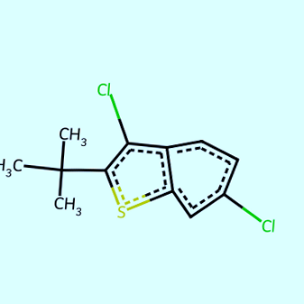 CC(C)(C)c1sc2cc(Cl)ccc2c1Cl